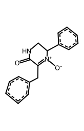 O=C1NCC(c2ccccc2)[N+]([O-])=C1Cc1ccccc1